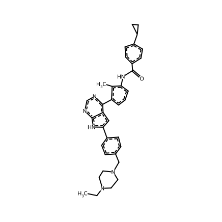 CCN1CCN(Cc2ccc(-c3cc4c(-c5cccc(NC(=O)c6ccc(C7CC7)cc6)c5C)ncnc4[nH]3)cc2)CC1